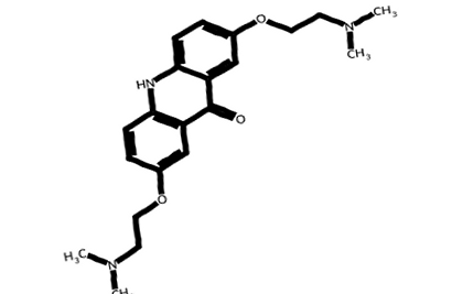 CN(C)CCOc1ccc2[nH]c3ccc(OCCN(C)C)cc3c(=O)c2c1